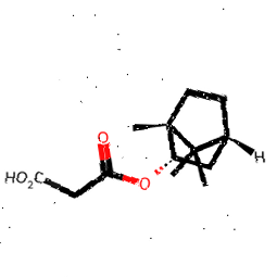 CC1(C)[C@@H]2CC[C@@]1(C)[C@@H](OC(=O)CC(=O)O)C2